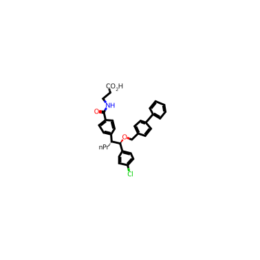 CCC[C@H](c1ccc(C(=O)NCCC(=O)O)cc1)[C@@H](OCc1ccc(-c2ccccc2)cc1)c1ccc(Cl)cc1